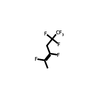 CC(F)=C(F)CC(F)(F)C(F)(F)F